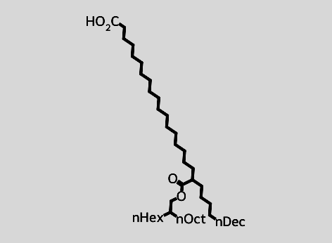 CCCCCCCCCCCCCCC(CCCCCCCCCCCCCCCCCC(=O)O)C(=O)OCC(CCCCCC)CCCCCCCC